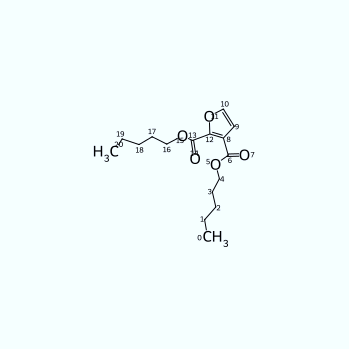 CCCCCOC(=O)c1ccoc1C(=O)OCCCCC